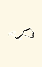 O/C=C1\C=CC=CC1